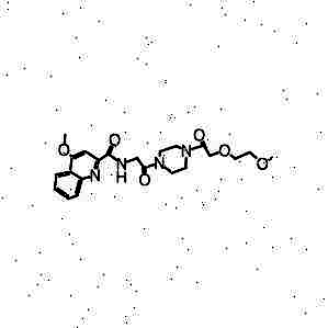 COCCOCC(=O)N1CCN(C(=O)CNC(=O)c2cc(OC)c3ccccc3n2)CC1